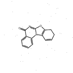 O=c1nc2oc3c(n2c2ccccc12)C=CCC3